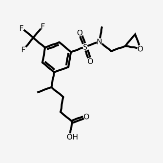 CC(CCC(=O)O)c1cc(C(F)(F)F)cc(S(=O)(=O)N(C)CC2CO2)c1